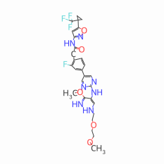 COCCOCCN/C=C(/Nc1ncc(-c2ccc(CC(=O)Nc3cc(C4(C(F)(F)F)CC4)on3)c(F)c2)cn1)C(=N)OC